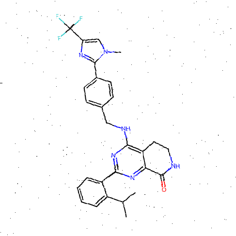 CC(C)c1ccccc1-c1nc(NCc2ccc(-c3nc(C(F)(F)F)cn3C)cc2)c2c(n1)C(=O)NCC2